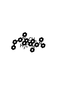 Cc1cc(N(c2ccccc2)c2ccc(-c3cccc(-c4ccccc4)c3)cc2)c2ccccc2c1-c1c(C)cc(N(c2ccccc2)c2ccc(N(c3ccccc3)c3ccccc3)cc2)c2ccccc12